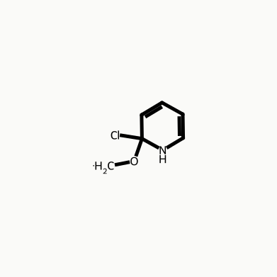 [CH2]OC1(Cl)C=CC=CN1